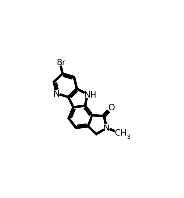 CN1Cc2ccc3c([nH]c4cc(Br)cnc43)c2C1=O